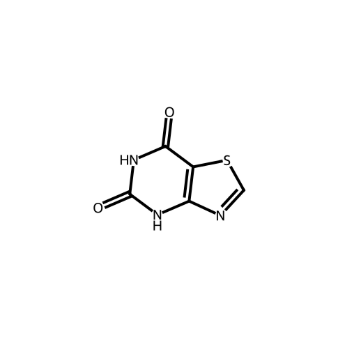 O=c1[nH]c(=O)c2scnc2[nH]1